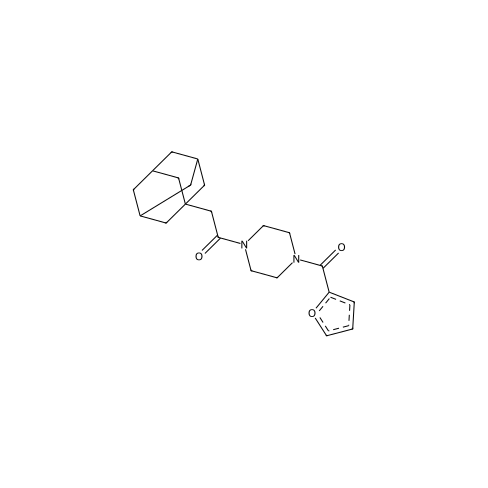 O=C(CC12CC3CC(CC(C3)C1)C2)N1CCN(C(=O)c2ccco2)CC1